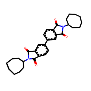 O=C1c2ccc(-c3ccc4c(c3)C(=O)N(C3CCCCCCC3)C4=O)cc2C(=O)N1C1CCCCCCC1